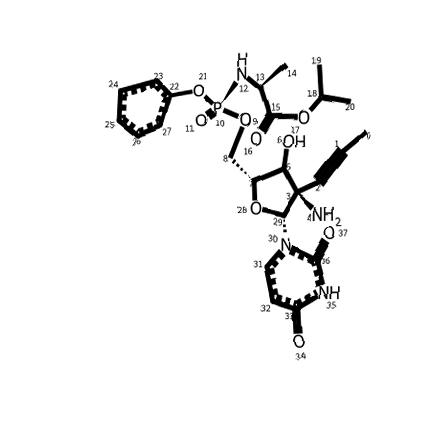 CC#C[C@@]1(N)C(O)[C@@H](CO[P@@](=O)(N[C@@H](C)C(=O)OC(C)C)Oc2ccccc2)O[C@H]1n1ccc(=O)[nH]c1=O